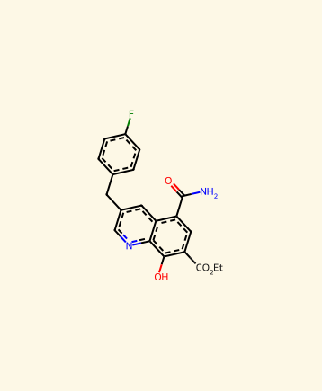 CCOC(=O)c1cc(C(N)=O)c2cc(Cc3ccc(F)cc3)cnc2c1O